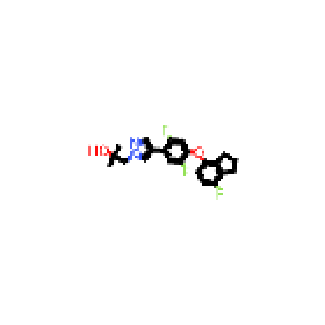 CC(C)(O)Cn1cc(-c2cc(F)c(Oc3ccc(F)c4c3CCC4)cc2F)cn1